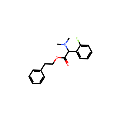 CN(C)C(C(=O)OCCc1ccccc1)c1ccccc1F